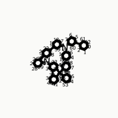 c1ccc(-c2cccc(N(c3ccccc3)c3cccc(-c4ccc5c6ccccc6n(-c6ccc7c(c6)-c6ccccc6C7(c6ccccc6)c6ccccc6)c5c4)c3)c2)cc1